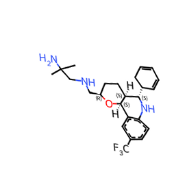 CC(C)(N)CNC[C@H]1CC[C@@H]2[C@H](O1)c1cc(C(F)(F)F)ccc1N[C@H]2C1C=CC=CC1